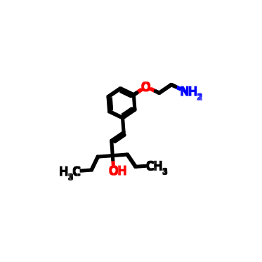 CCCC(O)(C=Cc1cccc(OCCN)c1)CCC